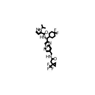 CC(C)n1nccc1C(=O)N[C@H](c1cn2ncc(CNC(=O)CC3(C(F)(F)F)CC3)cc2n1)C1CCC(F)(F)CC1